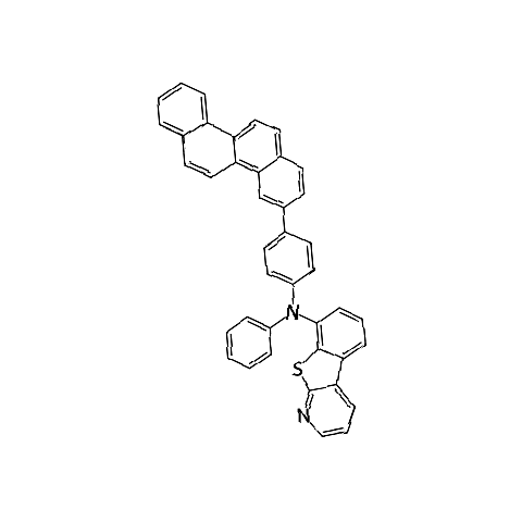 c1ccc(N(c2ccc(-c3ccc4ccc5c6ccccc6ccc5c4c3)cc2)c2cccc3c2sc2ncccc23)cc1